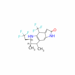 CC1C2=C(N[C@H](CC(F)(F)F)[C@@H]1C)C(C(F)(F)F)C1=CC(=O)NC1=C2